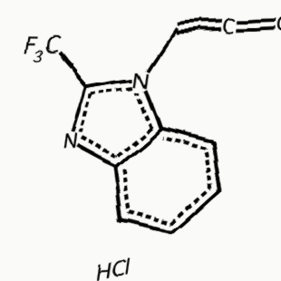 Cl.O=C=Cn1c(C(F)(F)F)nc2ccccc21